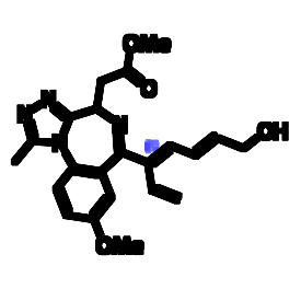 C=C/C(=C\C=CCO)C1=NC(CC(=O)OC)c2nnc(C)n2-c2ccc(OC)cc21